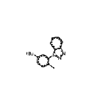 Cc1ccc(C(C)(C)C)cc1-n1nnc2ccccc21